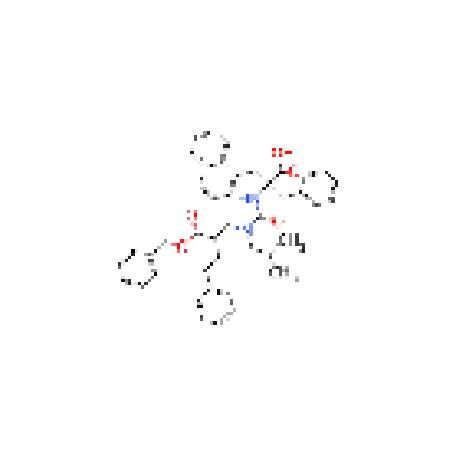 CC(C)CN(CC(CCc1ccccc1)C(=O)OCc1ccccc1)C(=O)N[C@@](Cc1ccccc1)(Cc1cccc2ccccc12)C(=O)O